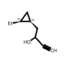 C#CC(O)C[C@@H]1C[C@@H]1CC